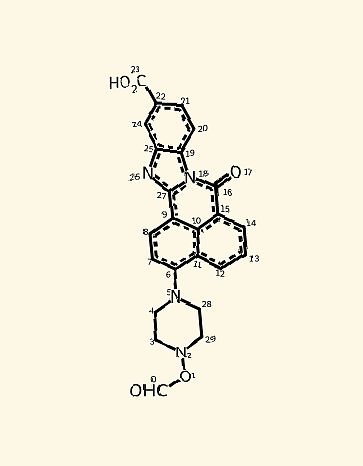 O=CON1CCN(c2ccc3c4c2cccc4c(=O)n2c4ccc(C(=O)O)cc4nc32)CC1